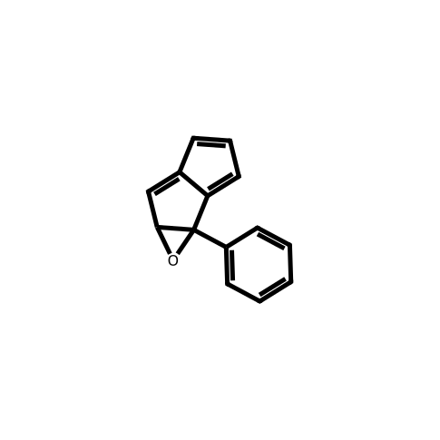 C1=CC2=CC3OC3(c3ccccc3)C2=C1